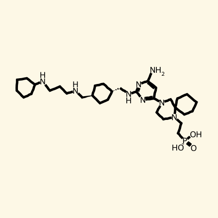 Nc1cc(N2CCN(CCP(=O)(O)O)C3(CCCCC3)C2)nc(NC[C@H]2CC[C@H](CNCCCNC3CCCCC3)CC2)n1